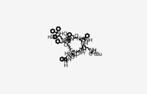 CCCCCCCCCCC(CCN[C@H](Cc1ccccc1)C(=O)N[C@H]1CSSC[C@@H](C(=O)N[C@@H](Cc2c[nH]c3ccccc23)C(N)=O)NC(=O)[C@H](C(C)C)NC(=O)[C@H](CCCCNC(=O)OC(C)(C)C)NC(=O)[C@@H](Cc2c[nH]c3ccccc23)NC(=O)[C@H](Cc2ccc(O)cc2)NC1=O)SC(c1ccccc1)(c1ccccc1)c1ccccc1